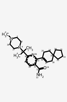 CN1CCN(C(C)(C)c2ccc(C(N)=O)c(C3=CCC4(CCCC4)CC3)n2)CC1